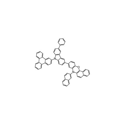 c1ccc(-c2ccc3c(c2)c2cc(-c4ccc5c(c4)N(c4ccc6ccccc6c4)c4ccc6ccccc6c4O5)ccc2n3-c2ccc3c4ccccc4c4ccccc4c3c2)cc1